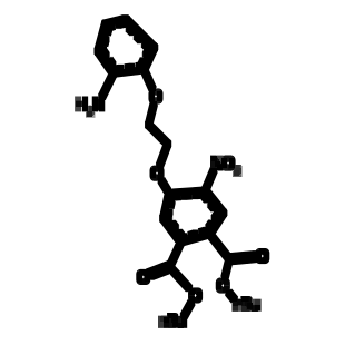 CCCCOC(=O)c1cc(OCCOc2ccccc2N)c([N+](=O)[O-])cc1C(=O)OCCCC